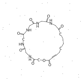 O=C1CCCCCC=CC(=O)OCC(=O)NCC(=O)NCC(=O)NCC(=O)NCC(=O)NC1